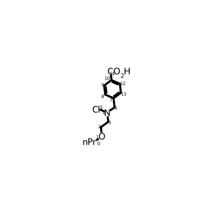 CCCOCCN(Cl)Cc1ccc(C(=O)O)cc1